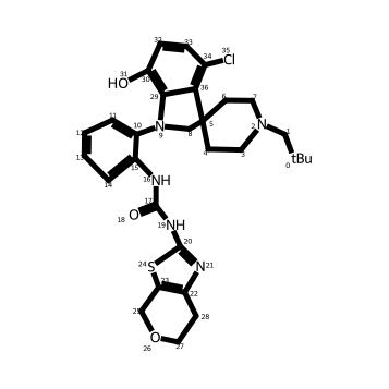 CC(C)(C)CN1CCC2(CC1)CN(c1ccccc1NC(=O)Nc1nc3c(s1)COCC3)c1c(O)ccc(Cl)c12